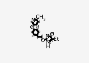 CCc1c[nH]c(OCCc2ccc(Oc3ccc(C)nc3)cc2)nc1=O